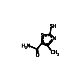 Cc1nc(S)sc1C(N)=O